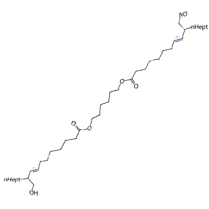 CCCCCCCC(/C=C/CCCCCCC(=O)OCCCCCCOC(=O)CCCCCC/C=C/C(CCCCCCC)CN=O)CO